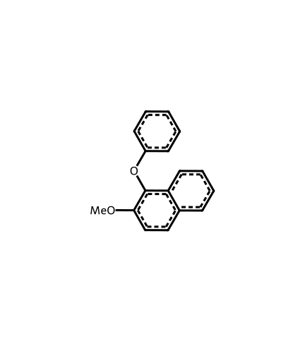 COc1ccc2ccccc2c1Oc1ccccc1